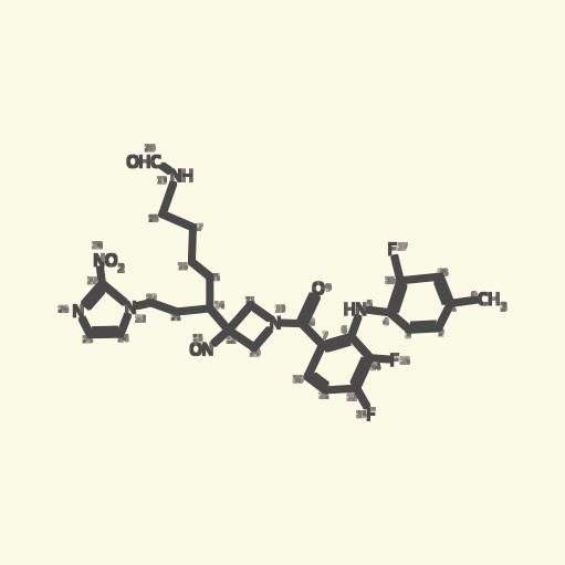 Cc1ccc(Nc2c(C(=O)N3CC(N=O)(C(CCCCNC=O)CCn4ccnc4[N+](=O)[O-])C3)ccc(F)c2F)c(F)c1